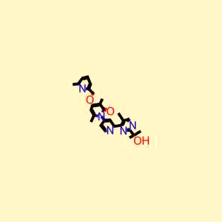 Cc1cccc(COc2cc(C)n(-c3ccnc(-c4nc(C(C)(C)O)ncc4C)c3)c(=O)c2C)n1